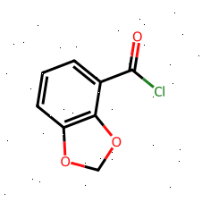 O=C(Cl)c1cccc2c1OCO2